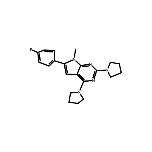 Cn1c(-c2ccc(F)cc2)cc2c(N3CCCC3)nc(N3CCCC3)nc21